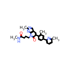 CNC(=O)CCCn1c(=O)c(-c2ccc(-c3cccc(C)n3)cc2C)cc2cnc(C)nc21